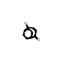 O=c1c#cc(=O)c2ccc1cc2